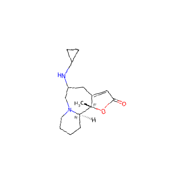 C[C@]12OC(=O)C=C1CC(NC1CC1)CN1CCCC[C@@H]12